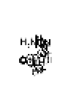 CC(C)OC(=O)[C@@H](C)NP(=O)(OC[C@H]1O[C@@H](n2cnc3cnc(N)nc32)[C@](C)(F)[C@@H]1O)Oc1ccccc1